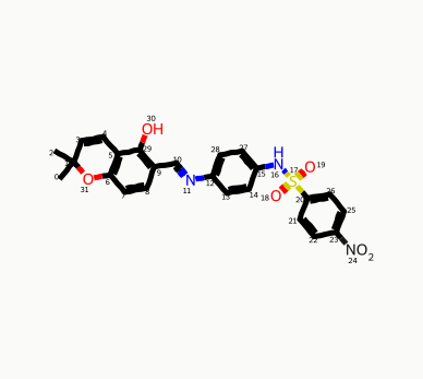 CC1(C)C=Cc2c(ccc(C=Nc3ccc(NS(=O)(=O)c4ccc([N+](=O)[O-])cc4)cc3)c2O)O1